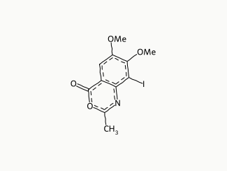 COc1cc2c(=O)oc(C)nc2c(I)c1OC